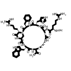 CC(=O)N[C@@H](CCCNC(=N)N)C(=O)N[C@H]1CC(=O)NCCCC(C(N)=O)NC(=O)[C@H](Cc2c[nH]c3ccccc23)NC(=O)[C@H]2CN(C(=O)[C@@H](Cc3ccccc3)NC(=O)[C@H](Cc3c[nH]cn3)NC1=O)[C@@H](CCCNC(=N)N)C(=O)N2